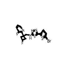 Fc1cccnc1C1(CNc2nnc(-c3ccc(Br)s3)s2)CC(F)C1